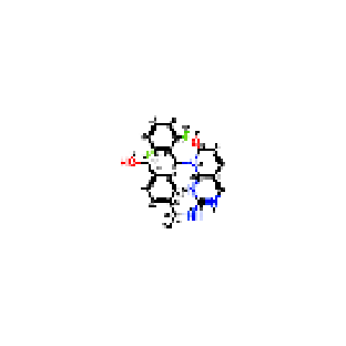 C[C@H](Nc1ncc2ccc(=O)n(Cc3c(F)cccc3F)c2n1)c1ccc(CO)cc1